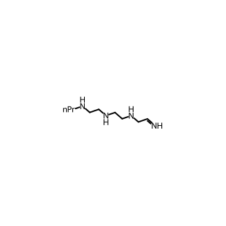 CCCNCCNCCNCC=N